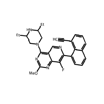 C#Cc1cccc2cccc(-c3ncc4c(N5CC(CC)NC(CC)C5)nc(OC)nc4c3F)c12